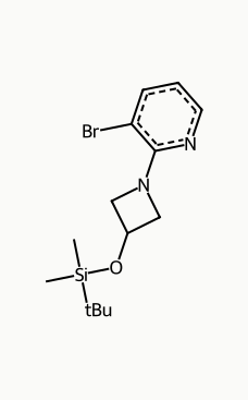 CC(C)(C)[Si](C)(C)OC1CN(c2ncccc2Br)C1